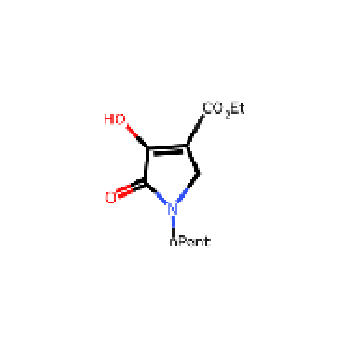 CCCCCN1CC(C(=O)OCC)=C(O)C1=O